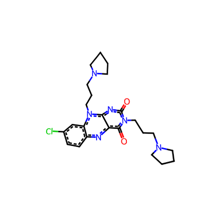 O=c1nc2n(CCCN3CCCC3)c3cc(Cl)ccc3nc-2c(=O)n1CCCN1CCCC1